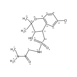 CN(C)C(=O)CNS(=O)(=O)CC1c2cc(Cl)ccc2OC(C)(C)C1O